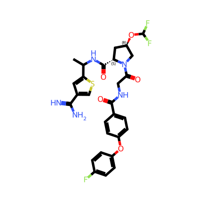 CC(NC(=O)[C@@H]1C[C@@H](OC(F)F)CN1C(=O)CNC(=O)c1ccc(Oc2ccc(F)cc2)cc1)c1cc(C(=N)N)cs1